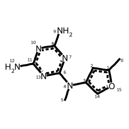 Cc1cc(N(C)c2nc(N)nc(N)n2)co1